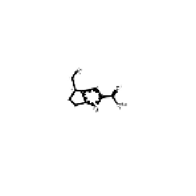 COC(=O)c1cc2c([nH]1)CCC2CC(C)C